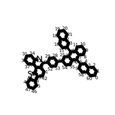 c1ccc2cc(-c3c4ccccc4c(-c4ccc5ccccc5c4)c4cc(-c5ccc(-c6nc7ccccc7c7c6ccc6c8ccccc8sc67)cc5)ccc34)ccc2c1